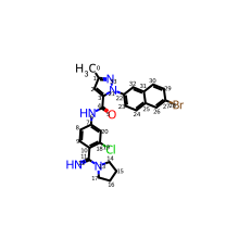 Cc1cc(C(=O)Nc2ccc(C(=N)N3CCCC3)c(Cl)c2)n(-c2ccc3cc(Br)ccc3c2)n1